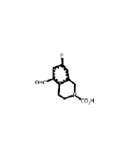 O=Cc1cc(F)cc2c1CCN(C(=O)O)C2